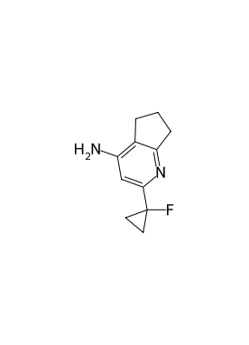 Nc1cc(C2(F)CC2)nc2c1CCC2